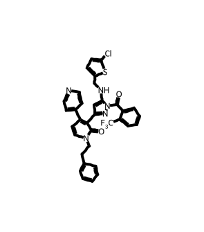 O=C(c1ccccc1C(F)(F)F)n1nc(-c2c(-c3ccncc3)ccn(CCc3ccccc3)c2=O)cc1NCc1ccc(Cl)s1